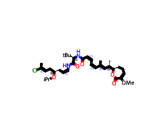 COC1=CCC[C@@H]([C@@H](C)/C=C(C)/C=C\C=C/C(=O)N[C@H](C(=O)N/C=C\C[C@@H](C/C=C(\C)Cl)OC(C)C)C(C)(C)C)OC1=O